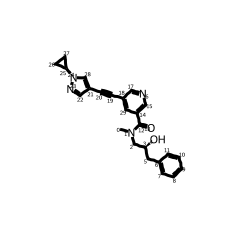 CN(C[C@@H](O)Cc1ccccc1)C(=O)c1cncc(C#Cc2cnn(C3CC3)c2)c1